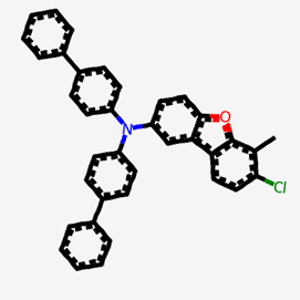 Cc1c(Cl)ccc2c1oc1ccc(N(c3ccc(-c4ccccc4)cc3)c3ccc(-c4ccccc4)cc3)cc12